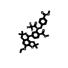 CCOc1cc2c(c3c1OC(C)(C)C3)C(c1ccc(C(=O)OC)c(N(Cc3ccc(C(=O)OC)cc3)C(=O)C(F)(F)F)c1)=NC(C)(C)C2